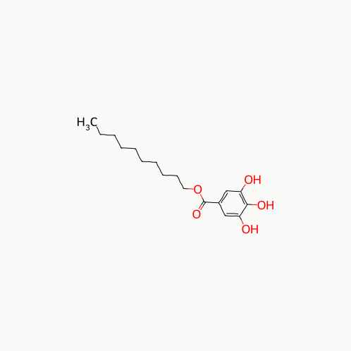 CCCCCCCCCCOC(=O)c1cc(O)c(O)c(O)c1